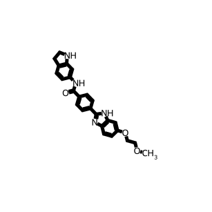 COCCOc1ccc2nc(-c3ccc(C(=O)Nc4ccc5c(c4)NCC5)cc3)[nH]c2c1